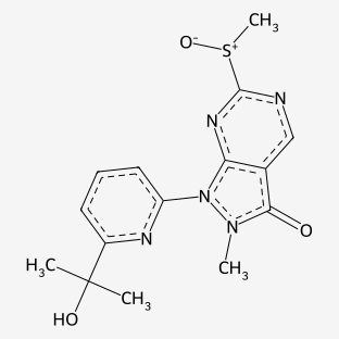 Cn1c(=O)c2cnc([S+](C)[O-])nc2n1-c1cccc(C(C)(C)O)n1